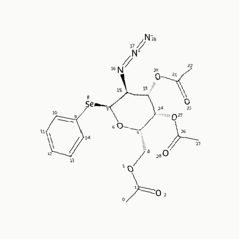 CC(=O)OC[C@@H]1O[C@@H]([Se]c2ccccc2)[C@@H](N=[N+]=[N-])[C@H](OC(C)=O)[C@@H]1OC(C)=O